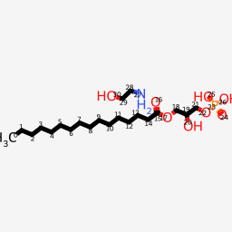 CCCCCCCCCCCCCCCC(=O)OCC(O)COP(=O)(O)O.NCCO